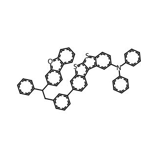 c1ccc(C(Cc2cccc(-c3ccc4c(c3)sc3sc5ccc(N(c6ccccc6)c6ccccc6)cc5c34)c2)c2ccc3c(c2)oc2ccccc23)cc1